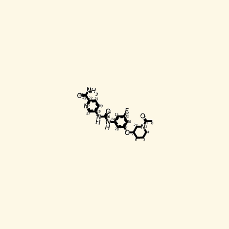 CC(=O)N1CCCC(Oc2cc(F)cc(NC(=O)Nc3ccc(C(N)=O)nc3)c2)C1